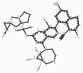 [2H]C([2H])(Oc1nc(N2CCOC[C@H]3[C@H](F)[C@H]32)c2cnc(-c3cc(N)cc4ccc(F)c(C#C)c34)c(F)c2n1)[C@@]12CCCN1C[C@]1(C[C@@H]1F)C2